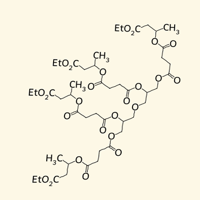 CCOC(=O)CC(C)OC(=O)CCC(=O)OCC(COCC(COC(=O)CCC(=O)OC(C)CC(=O)OCC)OC(=O)CCC(=O)OC(C)CC(=O)OCC)OC(=O)CCC(=O)OC(C)CC(=O)OCC